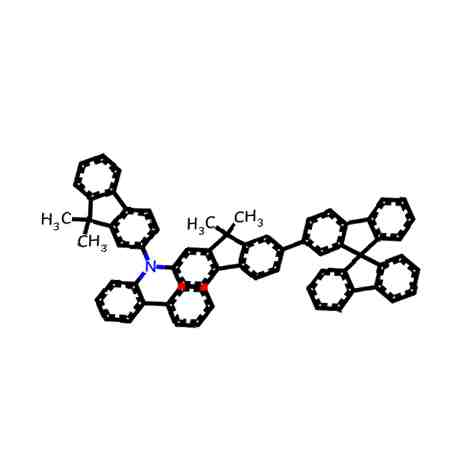 CC1(C)c2ccccc2-c2ccc(N(c3ccc4c(c3)C(C)(C)c3cc(-c5ccc6c(c5)C5(c7ccccc7-c7ccccc75)c5ccccc5-6)ccc3-4)c3ccccc3-c3ccccc3)cc21